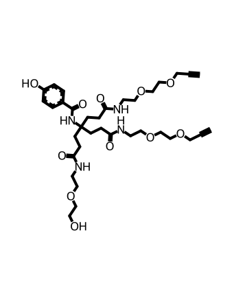 C#CCOCCOCCNC(=O)CCC(CCC(=O)NCCOCCO)(CCC(=O)NCCOCCOCC#C)NC(=O)c1ccc(O)cc1